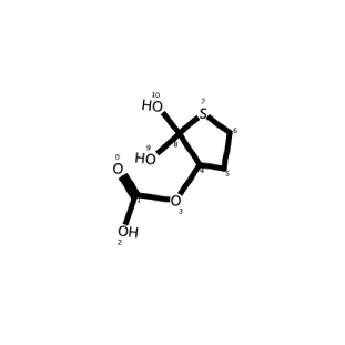 O=C(O)OC1CCSC1(O)O